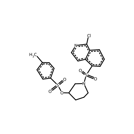 Cc1ccc(S(=O)(=O)OC2CCCN(S(=O)(=O)c3cccc4c(Cl)nccc34)C2)cc1